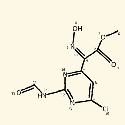 COC(=O)/C(=N\O)c1cc(Cl)nc(NC=O)n1